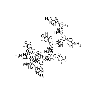 CC[C@H]1O[C@@H](n2cnc3c(N)ncnc32)C[C@H]1OP(=O)(S)OC[C@H]1O[C@@H](n2cnc3c(N)ncnc32)C[C@H]1OP(=O)(S)OC[C@H]1O[C@@H](n2cc(C)c(=O)[nH]c2=O)C[C@H]1OP(=O)(S)OC[C@H]1O[C@@H](n2cc(C)c(=O)[nH]c2=O)C[C@H]1OP(=O)(S)OC[C@H]1O[C@@H](n2cnc3c(N)ncnc32)C[C@H]1OP(=O)(S)OC[C@H]1O[C@@H](n2cc(C)c(=O)[nH]c2=O)C[C@H]1OP(=O)(S)OC[C@H]1O[C@@H](n2cc(C)c(N)nc2=O)C[C@H]1OP(=O)(S)OC